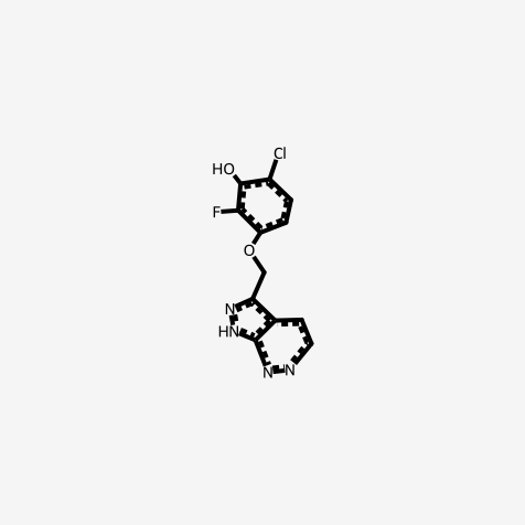 Oc1c(Cl)ccc(OCc2n[nH]c3nnccc23)c1F